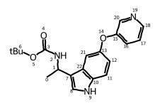 CC(NC(=O)OC(C)(C)C)c1c[nH]c2ccc(Oc3cccnc3)cc12